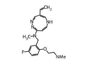 C=Cc1cnnc(N(C)Cc2cc(F)ccc2OCCNC)cc[nH]c1